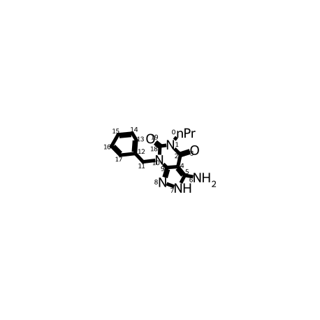 CCCn1c(=O)c2c(N)[nH]nc2n(Cc2ccccc2)c1=O